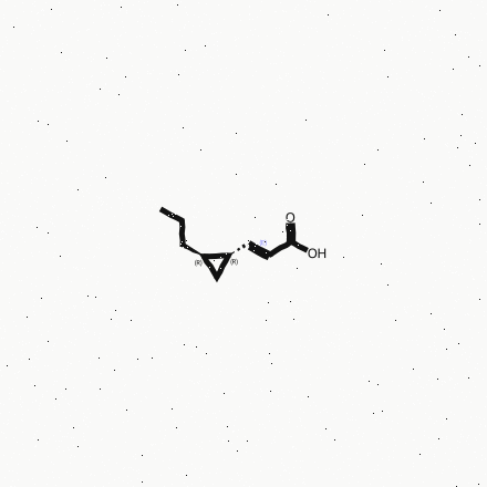 CCC[C@@H]1C[C@H]1/C=C/C(=O)O